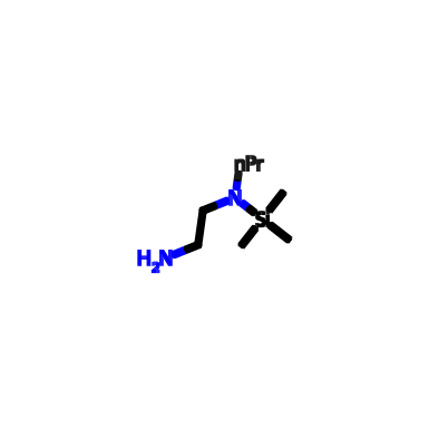 CCCN(CCN)[Si](C)(C)C